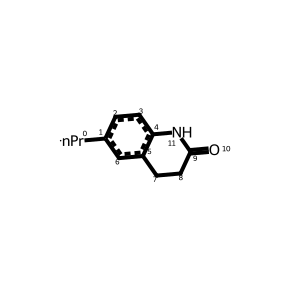 CC[CH]c1ccc2c(c1)CCC(=O)N2